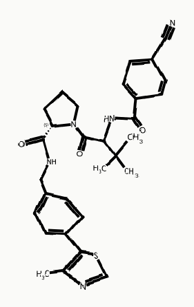 Cc1ncsc1-c1ccc(CNC(=O)[C@@H]2CCCN2C(=O)C(NC(=O)c2ccc(C#N)cc2)C(C)(C)C)cc1